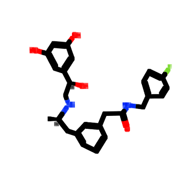 C[C@H](Cc1cccc(CC(=O)NCc2ccc(F)cc2)c1)NC[C@H](O)c1cc(O)cc(O)c1